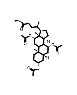 COC(=O)CC[C@@H](C)[C@H]1CC[C@H]2C3C(C[C@H](OC(C)=O)[C@]12C)[C@@]1(C)CC[C@@H](OC(C)=O)C[C@H]1C[C@H]3OC(C)=O